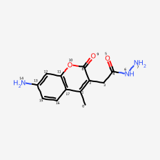 Cc1c(CC(=O)NN)c(=O)oc2cc(N)ccc12